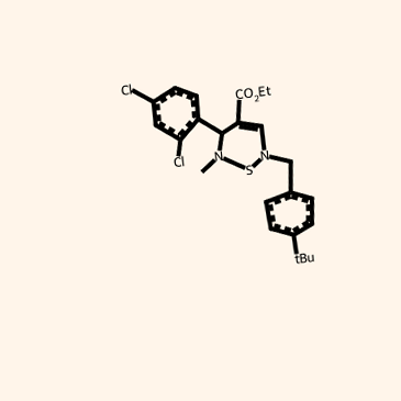 CCOC(=O)C1=CN(Cc2ccc(C(C)(C)C)cc2)SN(C)C1c1ccc(Cl)cc1Cl